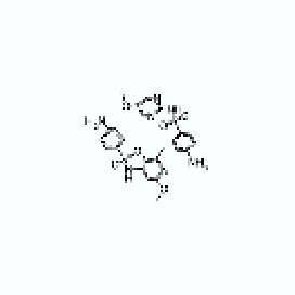 COc1cc(NS(=O)(=O)c2ccc(N)cc2)nc(C)n1.COc1cnc(NS(=O)(=O)c2ccc(N)cc2)nc1